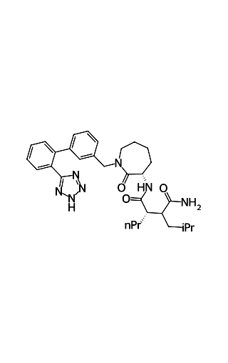 CCC[C@H](C(=O)N[C@H]1CCCCN(Cc2cccc(-c3ccccc3-c3nn[nH]n3)c2)C1=O)C(CC(C)C)C(N)=O